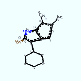 CC(=O)c1ccc2c(C3CCCCC3)c(Br)[nH]c2c1C